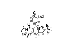 CC1=C(C(=O)N2CCCC2)C(c2ccc(Cl)c(Cl)c2)n2nc(C(F)(F)F)cc2N1